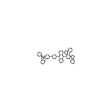 c1ccc(-n2c3ccccc3c3cc(-c4ccc(-c5c6ccccc6c(-c6cc7c8ccccc8oc7c7c6oc6ccccc67)c6ccccc56)cc4)ccc32)cc1